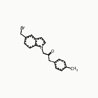 Cc1ccc(CC(=O)Cn2ccc3cc(CBr)ccc32)cc1